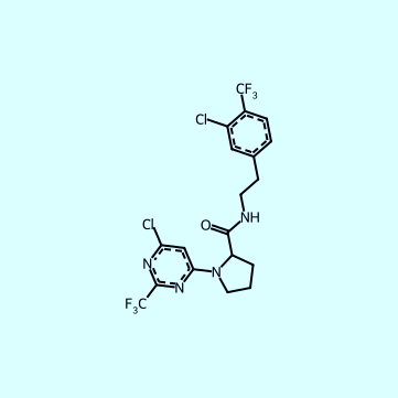 O=C(NCCc1ccc(C(F)(F)F)c(Cl)c1)C1CCCN1c1cc(Cl)nc(C(F)(F)F)n1